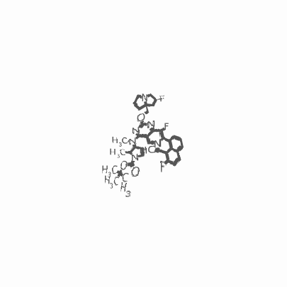 C#Cc1c(F)ccc2cccc(-c3ncc4c(N(C)C5CCN(C(=O)OC(C)(C)C)C5C)nc(OC[C@@]56CCCN5C[C@H](F)C6)nc4c3F)c12